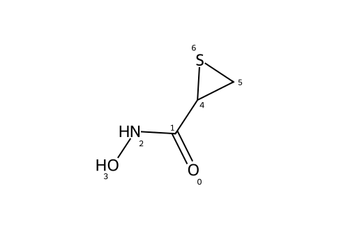 O=C(NO)C1CS1